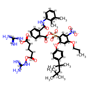 CCCOc1cc(Oc2ccc(C(C)(C)CC(C)(C)C)cc2)c(S(=O)(=O)OC(=O)c2ccccc2C(=O)Nc2cccc(C)c2C)cc1[N+](=O)[O-].N=C(N)NOC(=O)CCCC(=O)ONC(=N)N